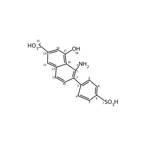 Nc1c(-c2ccc(S(=O)(=O)O)cc2)ccc2cc(S(=O)(=O)O)cc(O)c12